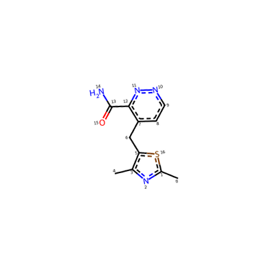 Cc1nc(C)c(Cc2ccnnc2C(N)=O)s1